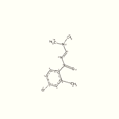 Cc1cc(Cl)ccc1C(=O)N=CN(C)C